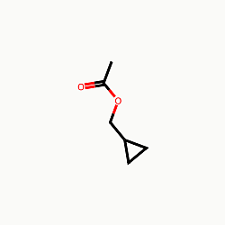 CC(=O)OCC1CC1